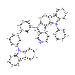 c1ccc(-n2c3ccccc3c3ccc4c(c5ccncc5n4-c4cccc(-c5cccc(-n6c7ccccc7c7ccccc76)c5)c4)c32)cc1